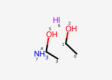 CCO.CCO.I.N